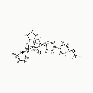 CC(C)Oc1ccc(-c2ccc(N(CC3(N)CCCC3)C(=O)[C@@H]3C[C@H]3c3cccc(F)n3)cc2)cc1